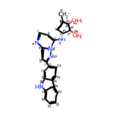 [CH2][C@@H]1C[C@@H](Nc2ccnc3cc(-c4ccc5c(c4)[nH]c4ccccc45)nn23)[C@H](O)[C@@H]1O